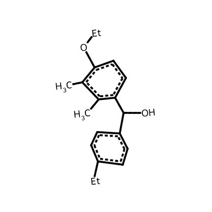 CCOc1ccc(C(O)c2ccc(CC)cc2)c(C)c1C